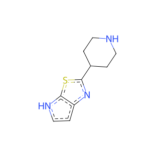 c1cc2nc(C3CCNCC3)sc2[nH]1